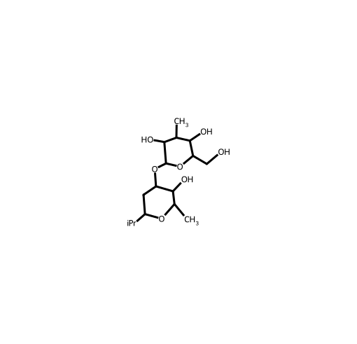 CC(C)C1CC(OC2OC(CO)C(O)C(C)C2O)C(O)C(C)O1